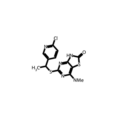 CNc1nc(SC(C)c2ccc(Cl)nc2)nc2[nH]c(=O)sc12